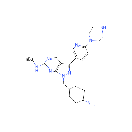 CCCCNc1ncc2c(-c3ccc(N4CCNCC4)nc3)nn(CC3CCC(N)CC3)c2n1